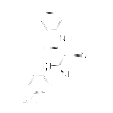 N#C/C(C(=O)Nc1ccccc1)=C(\N)Nc1ccc(Br)cc1